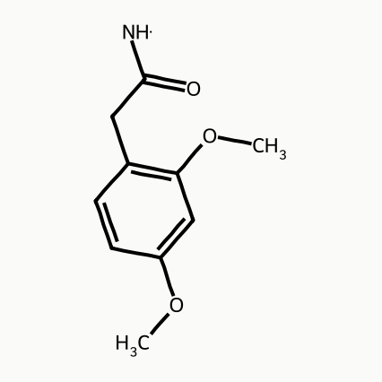 COc1ccc(CC([NH])=O)c(OC)c1